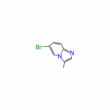 Cc1cnc2ccc(Br)cn12